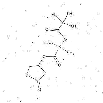 CCC(C)(C)C(=O)OC(C)(C)C(=O)OC1COC(=O)C1